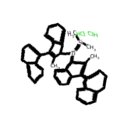 CC1=C(c2cccc3ccccc23)c2ccccc2[CH]1[Ti]([CH]1C(C)=C(c2cccc3ccccc23)c2ccccc21)=[Si](C)C.Cl.Cl